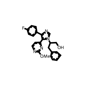 COc1nccc(-c2c(-c3ccc(F)cc3)ncn2C(CO)Cc2ccccc2)n1